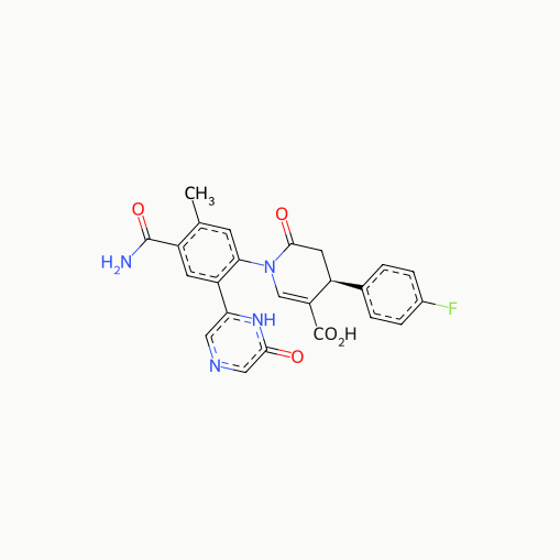 Cc1cc(N2C=C(C(=O)O)[C@H](c3ccc(F)cc3)CC2=O)c(-c2cncc(=O)[nH]2)cc1C(N)=O